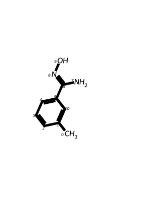 Cc1cccc(/C(N)=N/O)c1